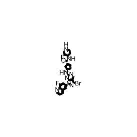 O=C(N[C@@H]1CCNC[C@H]1F)[C@@H]1CC[C@@H](Nc2ncc3c(Br)nn(-c4cc(F)c5ncccc5c4)c3n2)C1